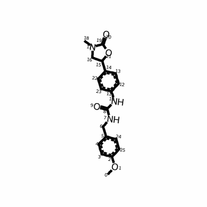 COc1ccc(CNC(=O)Nc2ccc(C3CN(C)C(=O)O3)cc2)cc1